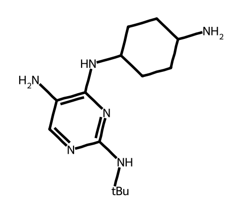 CC(C)(C)Nc1ncc(N)c(NC2CCC(N)CC2)n1